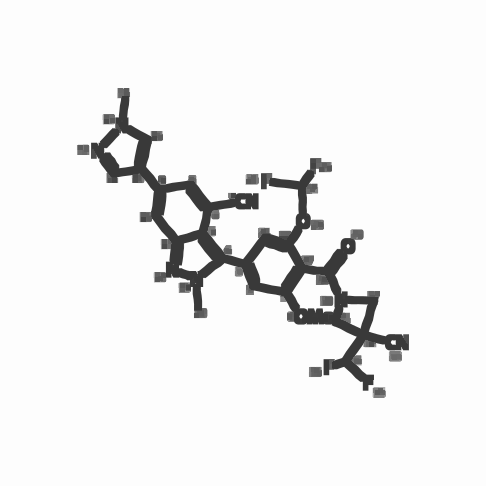 COc1cc(-c2c3c(C#N)cc(-c4cnn(C)c4)cc3nn2C)cc(OC(F)F)c1C(=O)N1CC(C#N)(C(F)F)C1